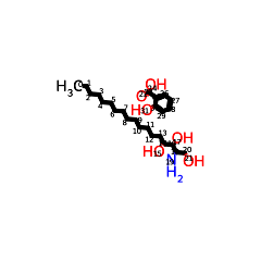 CCCCCCCCCCCCCCC(O)C(O)C(N)CO.O=C(O)c1ccccc1O